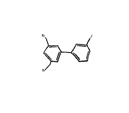 Brc1cc(Br)cc(-c2cccc(I)c2)c1